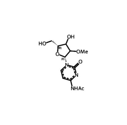 COC1C(O)[C@@H](CO)O[C@H]1n1ccc(NC(C)=O)nc1=O